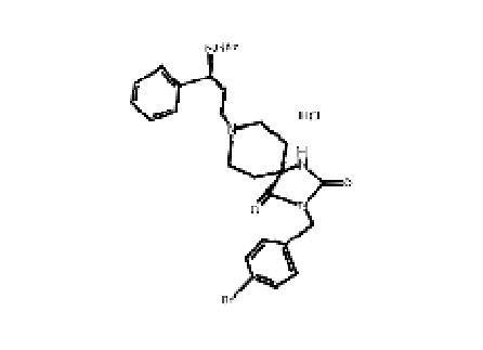 CC(=O)N[C@@H](CCN1CCC2(CC1)NC(=O)N(Cc1ccc(Br)cc1)C2=O)c1ccccc1.Cl